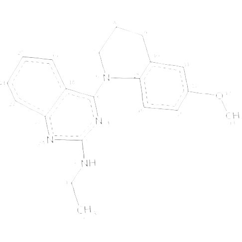 CCNc1nc(N2CCCc3cc(OC)ccc32)c2ccccc2n1